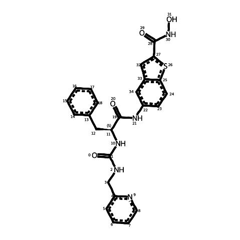 O=C(NCc1ccccn1)N[C@@H](Cc1ccccc1)C(=O)Nc1ccc2sc(C(=O)NO)cc2c1